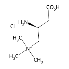 C[N+](C)(C)C[C@@H](N)CC(=O)O.[Cl-]